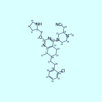 CC1c2nc(OCC3CCCN3)nc(N3CCN(C)C(CC#N)C3)c2CCC1CCc1ccccc1Cl